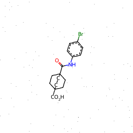 O=C(O)C12CCC(C(=O)Nc3ccc(Br)cc3)(CC1)CC2